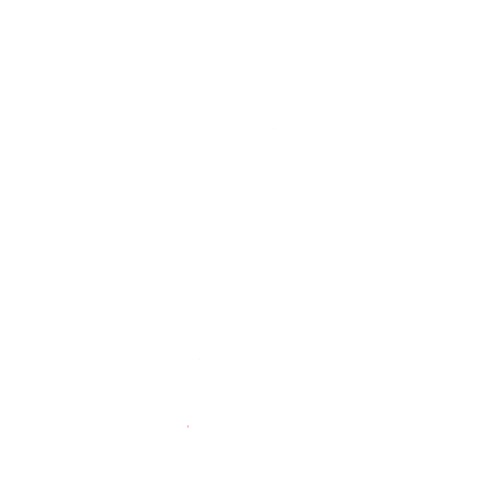 CCCC(O)C1CCC(c2ccc(COc3ccc(-c4ccc(O)c(F)c4)cc3)c(F)c2F)CC1